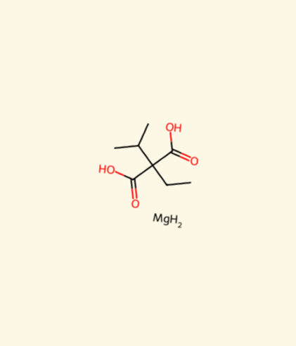 CCC(C(=O)O)(C(=O)O)C(C)C.[MgH2]